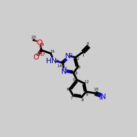 C#Cc1cc(-c2cccc(C#N)c2)nc(NCC(=O)OC)n1